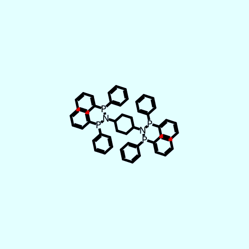 c1ccc(P(c2ccccc2)N(C2CCC(N(P(c3ccccc3)c3ccccc3)P(c3ccccc3)c3ccccc3)CC2)P(c2ccccc2)c2ccccc2)cc1